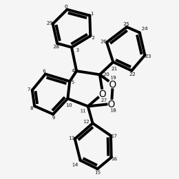 c1ccc(C2c3ccccc3C3(c4ccccc4)OOC2(c2ccccc2)O3)cc1